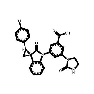 O=C(O)c1cc(N2CCNC2=O)cc(N2C(=O)[C@]3(C[C@H]3c3ccc(Cl)cc3)c3ccccc32)c1